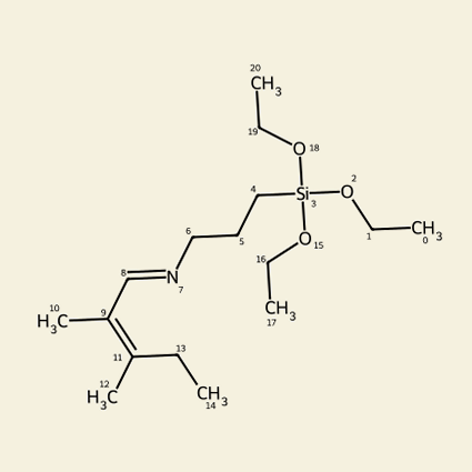 CCO[Si](CCCN=CC(C)=C(C)CC)(OCC)OCC